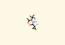 CC(=O)[C@@H](NC(=O)C1(F)CC1)C(C)(C)C